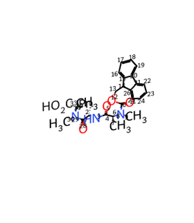 CC(C)C[C@H](NC(=O)[C@H](C)N(C)C(=O)OCC1c2ccccc2-c2ccccc21)C(=O)N(C)[C@@H](C)C(=O)O